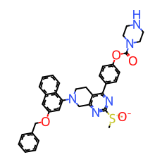 C[S+]([O-])c1nc2c(c(-c3ccc(OC(=O)N4CCNCC4)cc3)n1)CCN(c1cc(OCc3ccccc3)cc3ccccc13)C2